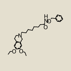 CCOc1cc2c(cc1OCC)CN(CCCCCCCC(=O)NOCc1ccccc1)CC2